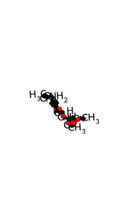 CCCCOC(=O)N[C@@H](CNC(=O)CC1CC(c2ccc(C(N)=NOC(C)=O)cc2)=NO1)C(=O)OC